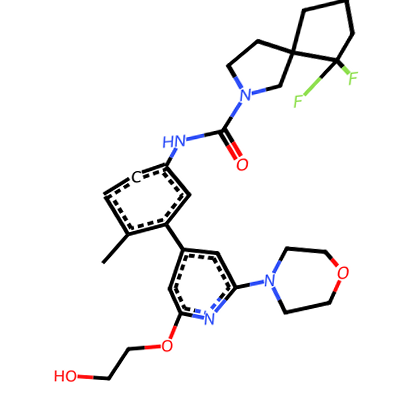 Cc1ccc(NC(=O)N2CCC3(CCCC3(F)F)C2)cc1-c1cc(OCCO)nc(N2CCOCC2)c1